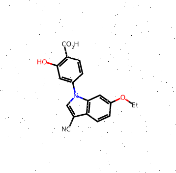 CCOc1ccc2c(C#N)cn(-c3ccc(C(=O)O)c(O)c3)c2c1